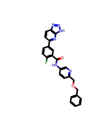 O=C(Nc1ccc(COCc2ccccc2)nc1)c1cc(-c2ccc3nn[nH]c3n2)ccc1F